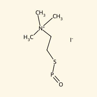 C[N+](C)(C)CCSP=O.[I-]